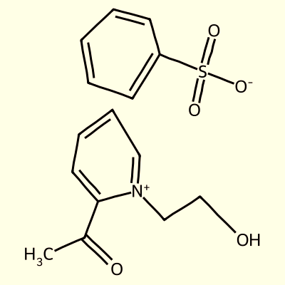 CC(=O)c1cccc[n+]1CCO.O=S(=O)([O-])c1ccccc1